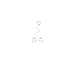 O=C([C@@H]1C[C@H]1c1ccccc1)N1CCN(c2ccc(Cl)cc2Cl)[C@H](c2ccc(Cl)cc2)C1